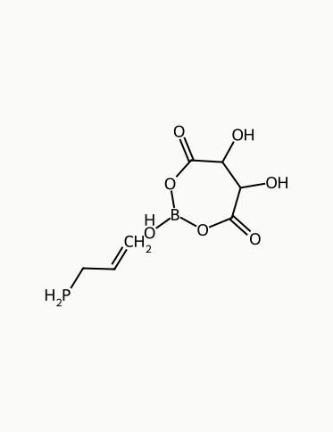 C=CCP.O=C1OB(O)OC(=O)C(O)C1O